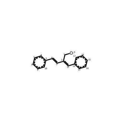 [O]CC(C=Cc1ccccc1)=Cc1ccccc1